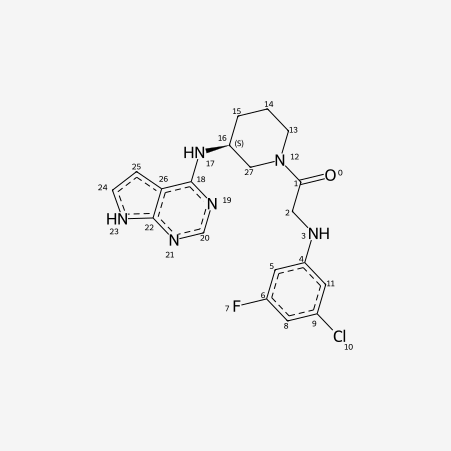 O=C(CNc1cc(F)cc(Cl)c1)N1CCC[C@H](Nc2ncnc3[nH]ccc23)C1